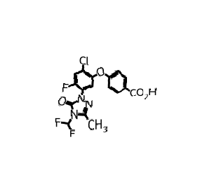 Cc1nn(-c2cc(Oc3ccc(C(=O)O)cc3)c(Cl)cc2F)c(=O)n1C(F)F